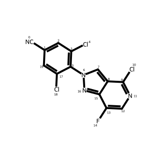 N#Cc1cc(Cl)c(-n2cc3c(Cl)ncc(F)c3n2)c(Cl)c1